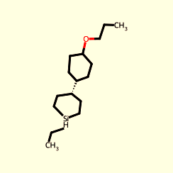 CCCOC1CCC([C@H]2CC[Si@H](CCC)CC2)CC1